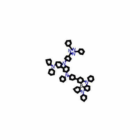 c1ccc(-c2nc(-c3ccccc3)nc(-c3ccc(-n4c5ccc(N(c6ccccc6)c6ccccc6)cc5c5cc(N(c6ccccc6)c6ccc(-c7ccc8c(c7)B7c9ccccc9N(c9ccccc9)c9cccc(c97)N8c7ccccc7)cc6)ccc54)cc3)n2)cc1